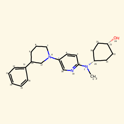 CN(c1ccc(N2CCCC(c3ccccc3)C2)cn1)[C@H]1CC[C@@H](O)CC1